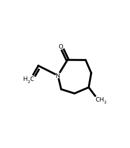 C=CN1CCC(C)CCC1=O